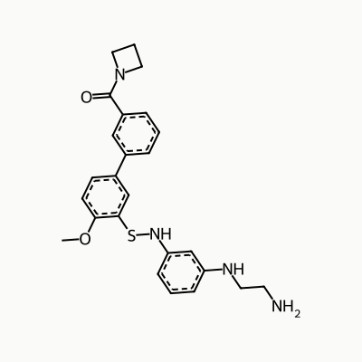 COc1ccc(-c2cccc(C(=O)N3CCC3)c2)cc1SNc1cccc(NCCN)c1